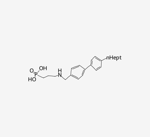 CCCCCCCc1ccc(-c2ccc(CNCCCP(=O)(O)O)cc2)cc1